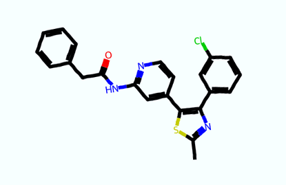 Cc1nc(-c2cccc(Cl)c2)c(-c2ccnc(NC(=O)Cc3ccccc3)c2)s1